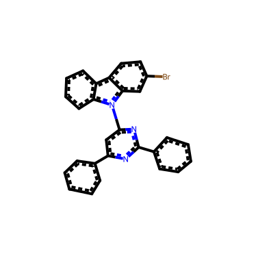 Brc1ccc2c3ccccc3n(-c3cc(-c4ccccc4)nc(-c4ccccc4)n3)c2c1